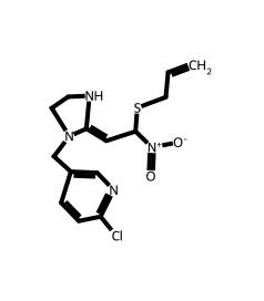 C=CCSC(C=C1NCCN1Cc1ccc(Cl)nc1)[N+](=O)[O-]